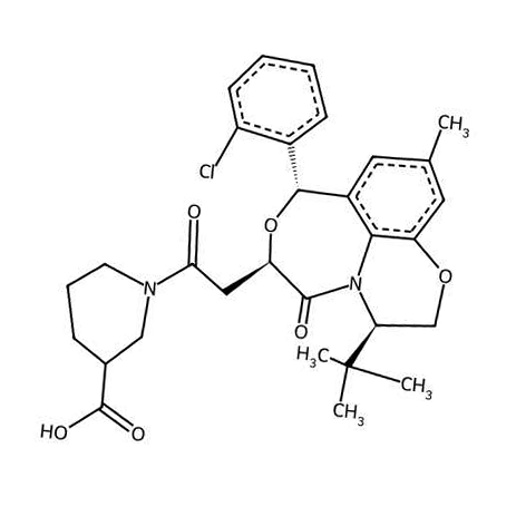 Cc1cc2c3c(c1)[C@@H](c1ccccc1Cl)O[C@H](CC(=O)N1CCCC(C(=O)O)C1)C(=O)N3[C@H](C(C)(C)C)CO2